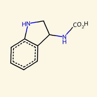 O=C(O)NC1CNc2ccccc21